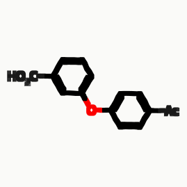 CC(=O)c1ccc(Oc2cccc(C(=O)O)c2)cc1